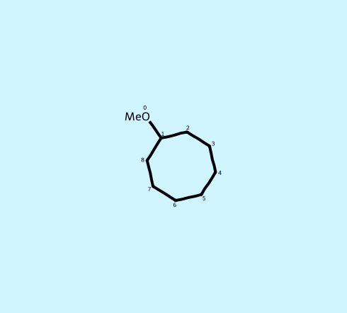 COC1CCCCCCC1